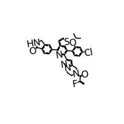 C=C(F)C(=O)N1CCn2nc(-c3nc(-c4ccc5c(c4)CNC5=O)c4ccsc4c3-c3ccc(Cl)cc3OC(C)C)cc2C1